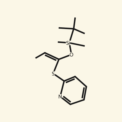 C/C=C(/O[Si](C)(C)C(C)(C)C)Sc1ccccn1